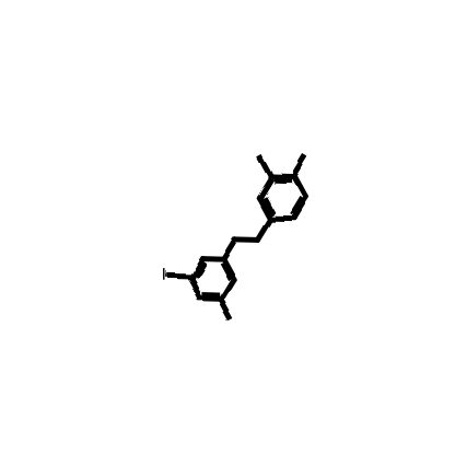 Cc1cc(I)cc(CCc2ccc(C)c(C)c2)c1